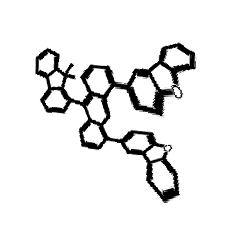 CC1(C)c2ccccc2-c2cccc(-c3c4cccc(-c5ccc6oc7ccccc7c6c5)c4cc4c(-c5ccc6oc7ccccc7c6c5)cccc34)c21